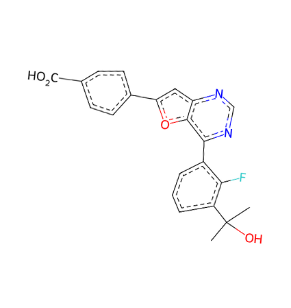 CC(C)(O)c1cccc(-c2ncnc3cc(-c4ccc(C(=O)O)cc4)oc23)c1F